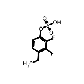 CCc1ccc(OS(=O)(=O)O)c(F)c1F